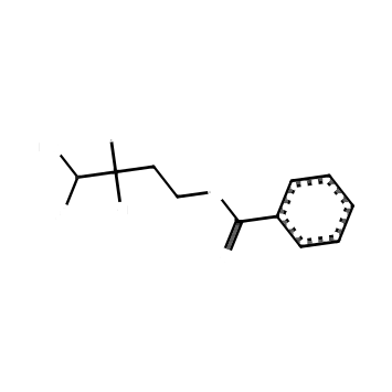 CC(O)C(C)(C)CCOC(=O)c1ccccc1